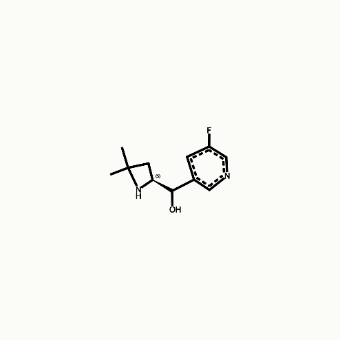 CC1(C)C[C@@H](C(O)c2cncc(F)c2)N1